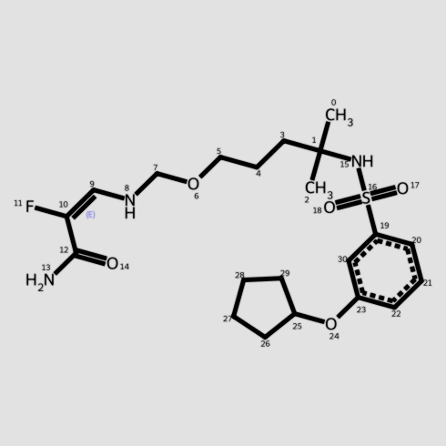 CC(C)(CCCOCN/C=C(/F)C(N)=O)NS(=O)(=O)c1cccc(OC2CCCC2)c1